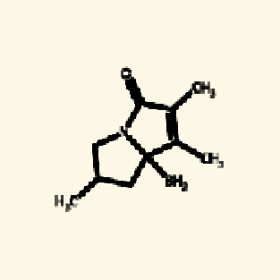 BC12CC(C)CN1C(=O)C(C)=C2C